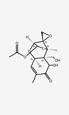 CC(=O)OC1C[C@@]2(C)[C@]3(CO3)[C@@H]1O[C@@H]1C=C(C)C(=O)C(O)[C@@]12CO